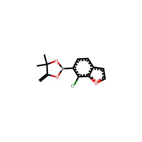 C=C1OB(c2ccc3ccoc3c2Cl)OC1(C)C